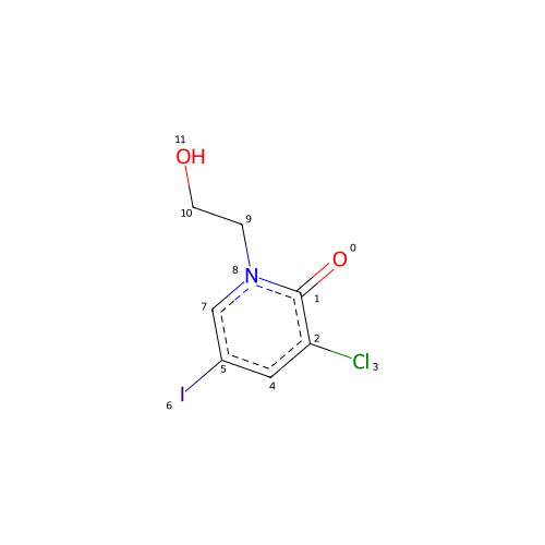 O=c1c(Cl)cc(I)cn1CCO